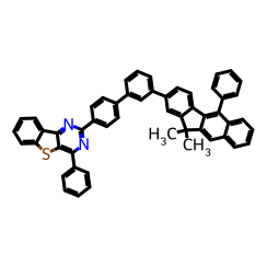 CC1(C)c2cc(-c3cccc(-c4ccc(-c5nc(-c6ccccc6)c6sc7ccccc7c6n5)cc4)c3)ccc2-c2c1cc1ccccc1c2-c1ccccc1